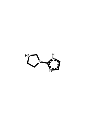 c1c[nH]c(N2CCNC2)n1